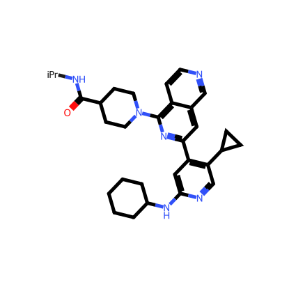 CC(C)NC(=O)C1CCN(c2nc(-c3cc(NC4CCCCC4)ncc3C3CC3)cc3cnccc23)CC1